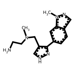 CN(CCN)Cc1c[nH]nc1-c1ccc2cnn(C)c2c1